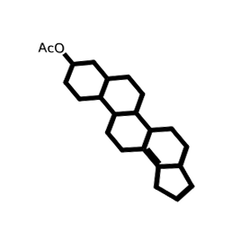 CC(=O)OC1CCC2C(CCC3C4CCC5CCCC5=C4CCC23)C1